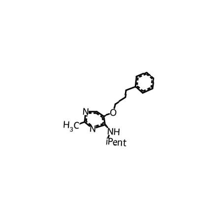 CCCC(C)Nc1nc(C)ncc1OCCCc1ccccc1